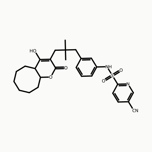 CC(C)(CC1=C(O)C2CCCCCCC2OC1=O)Cc1cccc(NS(=O)(=O)c2ccc(C#N)cn2)c1